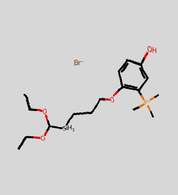 CCOC(OCC)[SiH2]CCCOc1ccc(O)cc1[P+](C)(C)C.[Br-]